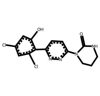 O=C1NCCCN1c1ccc(-c2c(O)cc(Cl)cc2Cl)nn1